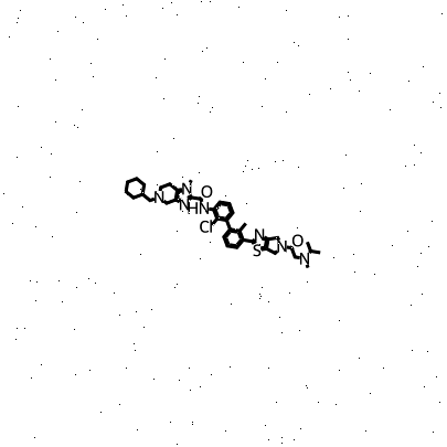 Cc1c(-c2nc3c(s2)CN(C(=O)CN(C)C(C)C)C3)cccc1-c1cccc(NC(=O)c2nc3c(n2C)CCN(CC2CCCCC2)C3)c1Cl